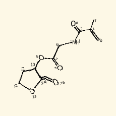 C=C(C)C(=O)NCC(=O)OC1CCOC1=O